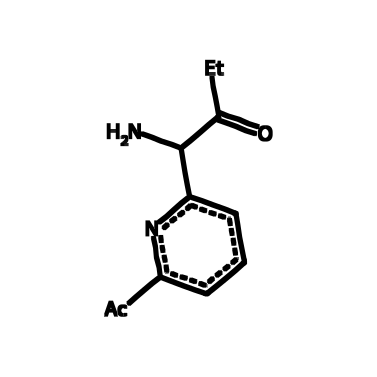 CCC(=O)C(N)c1cccc(C(C)=O)n1